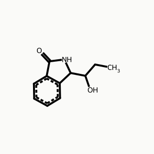 CCC(O)C1NC(=O)c2ccccc21